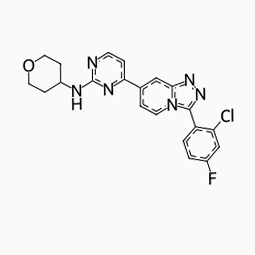 Fc1ccc(-c2nnc3cc(-c4ccnc(NC5CCOCC5)n4)ccn23)c(Cl)c1